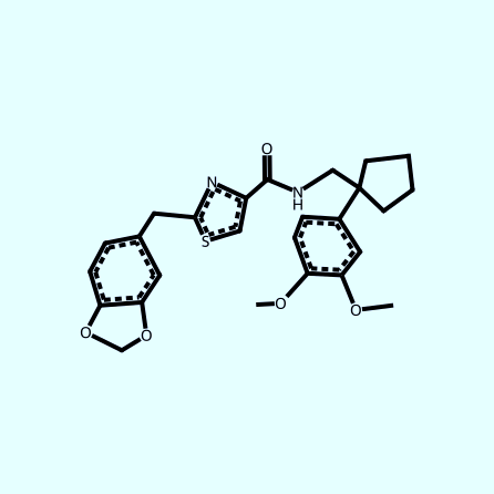 COc1ccc(C2(CNC(=O)c3csc(Cc4ccc5c(c4)OCO5)n3)CCCC2)cc1OC